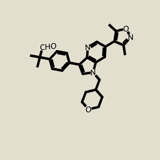 Cc1noc(C)c1-c1cnc2c(-c3ccc(C(C)(C)C=O)cc3)cn(CC3CCOCC3)c2c1